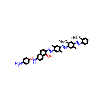 COc1cc(N=Nc2ccccc2S(=O)(=O)O)c(C)cc1N=Nc1cc(C)c(N=Nc2ccc3cc(NOc4ccc(N)cc4)ccc3c2O)cc1C